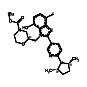 C[C@H]1CC[C@H](C)N1c1ccc(-c2nc3c(F)ccc(O)c3n2C[C@@H]2CN(C(=O)OC(C)(C)C)CCO2)cn1